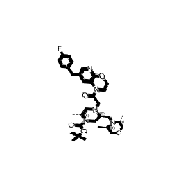 C[C@@H]1CN(CC(=O)N2CCOc3ncc(Cc4ccc(F)cc4)cc32)[C@@H](CN2[C@H](C)COC[C@H]2C)CN1C(=O)OC(C)(C)C